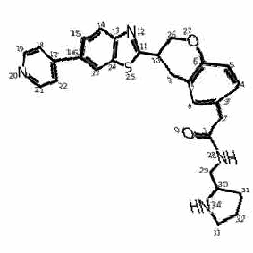 O=C(Cc1ccc2c(c1)CC(c1nc3ccc(-c4ccncc4)cc3s1)CO2)NCC1CCCN1